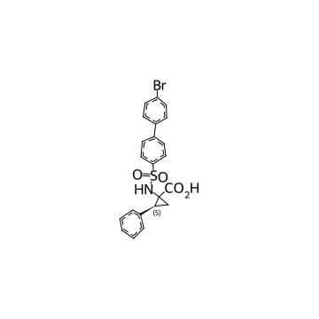 O=C(O)C1(NS(=O)(=O)c2ccc(-c3ccc(Br)cc3)cc2)C[C@H]1c1ccccc1